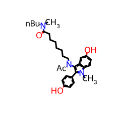 CCCCN(C)C(=O)CCCCCCCN(C(C)=O)c1c(-c2ccc(O)cc2)n(C)c2ccc(O)cc12